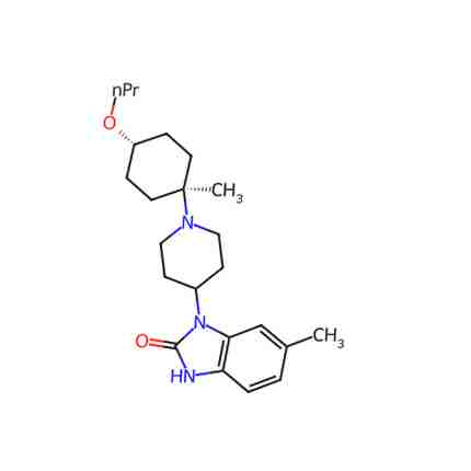 CCCO[C@H]1CC[C@](C)(N2CCC(n3c(=O)[nH]c4ccc(C)cc43)CC2)CC1